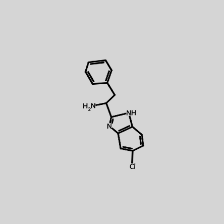 NC(Cc1ccccc1)c1nc2cc(Cl)ccc2[nH]1